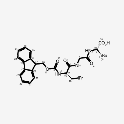 CC[C@H](C)[C@H](NC(=O)CNC(=O)[C@H](CC(C)C)NC(=O)OCC1c2ccccc2-c2ccccc21)C(=O)O